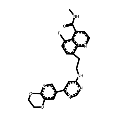 CNC(=O)c1ccnc2c(CCNc3cc(-c4cnc5c(c4)OCCO5)ncn3)ccc(F)c12